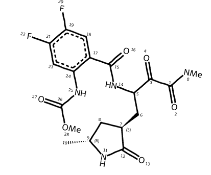 CNC(=O)C(=O)C(C[C@@H]1C[C@@H](C)NC1=O)NC(=O)c1cc(F)c(F)cc1NC(=O)OC